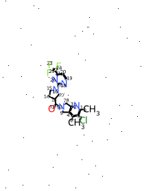 Cc1nc2c(c(C)c1Cl)CN(C(=O)C1CCN(c3nccc(C(F)(F)F)n3)C1)C2